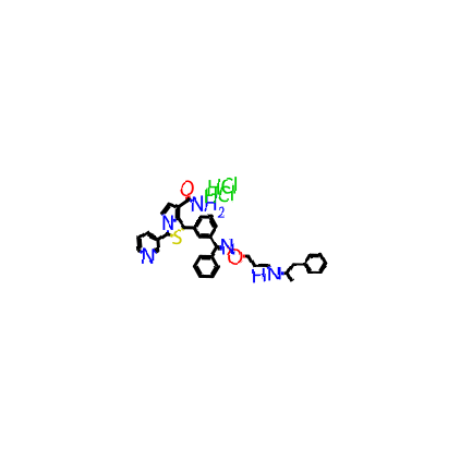 CC(Cc1ccccc1)NCCCON=C(c1ccccc1)c1cccc(C2SC(c3cccnc3)n3ccc(C(N)=O)c32)c1.Cl.Cl